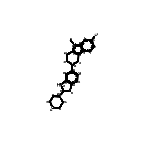 Cn1c2c(c3ccc(F)cc31)CN(c1ccc3c(c1)NC(N1CCOCC1)S3)CC2